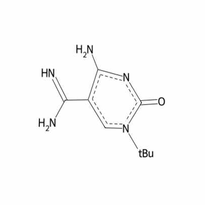 CC(C)(C)n1cc(C(=N)N)c(N)nc1=O